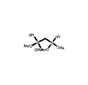 CCC[Si](C[Si](CCC)(OC)OC)(OC)OC